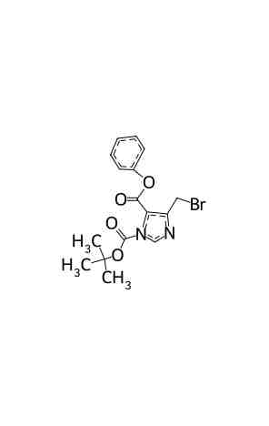 CC(C)(C)OC(=O)n1cnc(CBr)c1C(=O)Oc1ccccc1